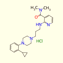 CN(C)C(=O)c1cccnc1NCCCN1CCN(c2ccccc2C2CC2)CC1.Cl